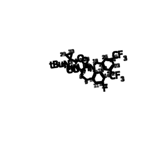 CC(C)(C)N(C(=O)O)C1(C(=O)NC2CCc3cc(F)ccc3N(Cc3cc(C(F)(F)F)cc(C(F)(F)F)c3)C2=O)CC1